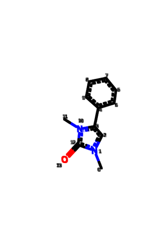 Cn1cc(-c2ccccc2)n(C)c1=O